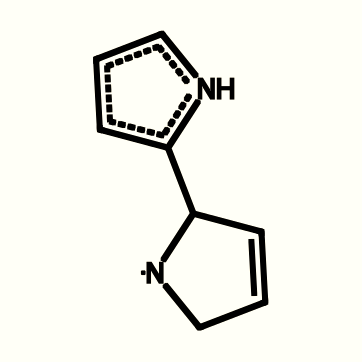 C1=CC(c2ccc[nH]2)[N]C1